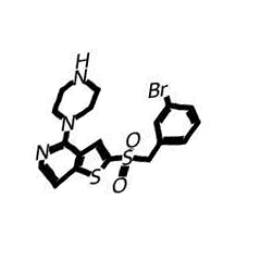 O=S(=O)(Cc1cccc(Br)c1)c1cc2c(N3CCNCC3)nccc2s1